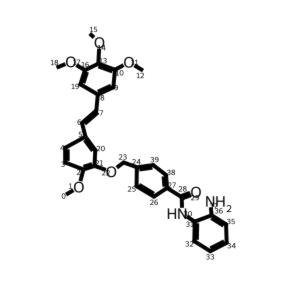 COc1ccc(C=Cc2cc(OC)c(OC)c(OC)c2)cc1OCc1ccc(C(=O)Nc2ccccc2N)cc1